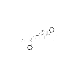 CCOC(=O)[C@H](Cc1ccccc1)NS(=O)(=O)CCCNC(=O)[C@H](Cc1ccccc1)NC